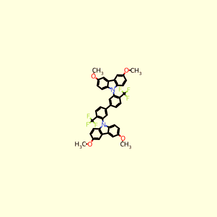 COc1ccc2c(c1)c1cc(OC)ccc1n2-c1cc(-c2ccc(C(F)(F)F)c(-n3c4ccc(OC)cc4c4cc(OC)ccc43)c2)ccc1C(F)(F)F